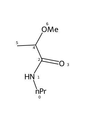 CCCNC(=O)C(C)OC